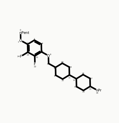 CCCCCOc1ccc(OCC2CCC(C3CCC(CCC)CC3)CC2)c(F)c1F